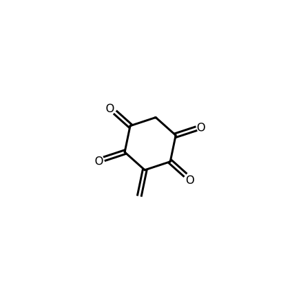 C=C1C(=O)C(=O)CC(=O)C1=O